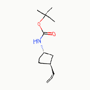 C=C[C@H]1C[C@H](NC(=O)OC(C)(C)C)C1